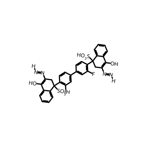 [H]/N=N/C1=C(O)c2ccccc2C(c2ccc(-c3ccc(C4(S(=O)(=O)O)CC(/N=N/[H])=C(O)c5ccccc54)c(F)c3)cc2F)(S(=O)(=O)O)C1